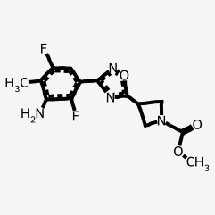 COC(=O)N1CC(c2nc(-c3cc(F)c(C)c(N)c3F)no2)C1